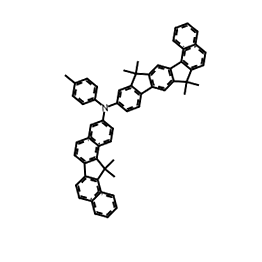 Cc1ccc(N(c2ccc3c(c2)C(C)(C)c2cc4c(cc2-3)C(C)(C)c2ccc3ccccc3c2-4)c2ccc3c4c(ccc3c2)-c2ccc3ccccc3c2C4(C)C)cc1